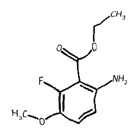 CCOC(=O)c1c(N)ccc(OC)c1F